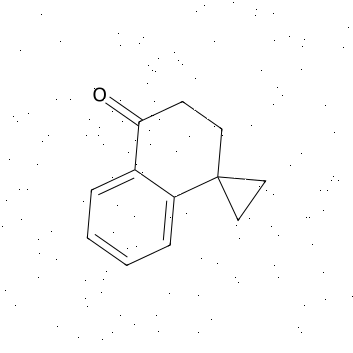 O=C1CCC2(CC2)c2ccccc21